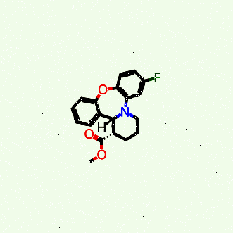 COC(=O)[C@H]1CCCN2c3cc(F)ccc3Oc3ccccc3[C@@H]12